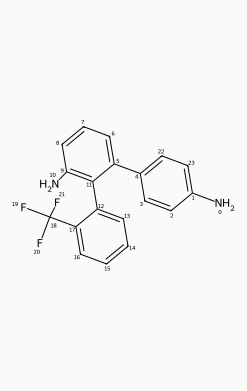 Nc1ccc(-c2cccc(N)c2-c2ccccc2C(F)(F)F)cc1